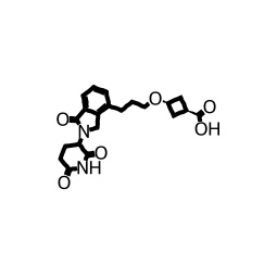 O=C1CCC(N2Cc3c(CCCO[C@H]4C[C@H](C(=O)O)C4)cccc3C2=O)C(=O)N1